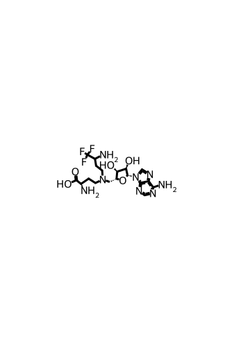 Nc1ncnc2c1ncn2[C@@H]1O[C@H](CN(CCC(N)C(F)(F)F)CC[C@H](N)C(=O)O)[C@@H](O)[C@H]1O